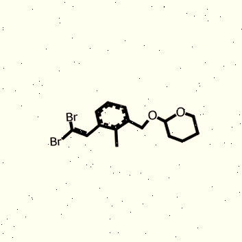 Cc1c(C=C(Br)Br)cccc1COC1CCCCO1